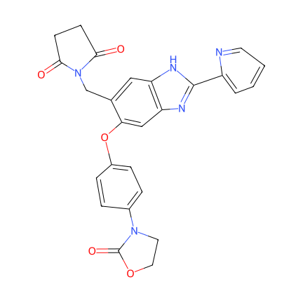 O=C1CCC(=O)N1Cc1cc2[nH]c(-c3ccccn3)nc2cc1Oc1ccc(N2CCOC2=O)cc1